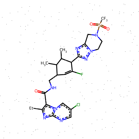 CCc1nc2ncc(Cl)cn2c1C(=O)NCC1C=C(F)C(c2nc3n(n2)CCN(S(=O)(=O)C(F)(F)F)C3)C(C)C1C